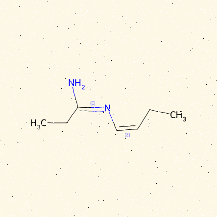 CC/C=C\N=C(\N)CC